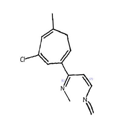 C=N/C=C\C(=N/C)C1=CCC(C)=CC(Cl)=C1